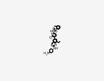 CCc1cc(-c2ccc(NS(=O)(=O)c3ccccc3C)nc2OC)cc2cnc(N[C@H]3CC[C@H](N)CC3)nc12